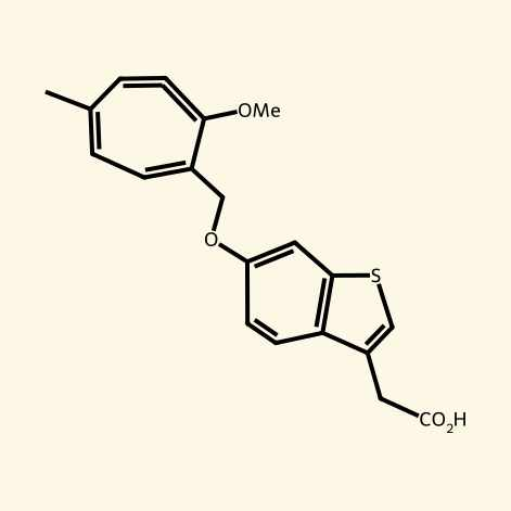 COC1=C=CC(C)=CC=C1COc1ccc2c(CC(=O)O)csc2c1